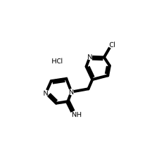 Cl.N=c1cnccn1Cc1ccc(Cl)nc1